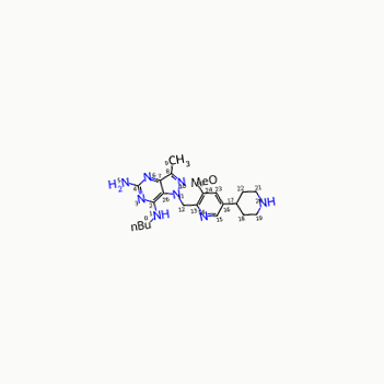 CCCCNc1nc(N)nc2c(C)nn(Cc3ncc(C4CCNCC4)cc3OC)c12